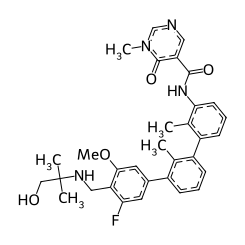 COc1cc(-c2cccc(-c3cccc(NC(=O)c4cncn(C)c4=O)c3C)c2C)cc(F)c1CNC(C)(C)CO